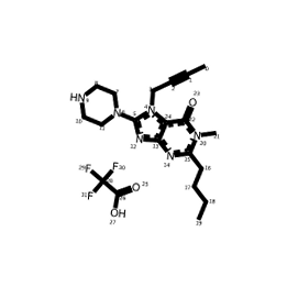 CC#CCn1c(N2CCNCC2)nc2nc(CCCC)n(C)c(=O)c21.O=C(O)C(F)(F)F